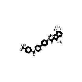 COc1cccc2c(C)c(C(=O)Nc3ccc(C4CCN(C(=O)[C@H]5CC[C@H](C(=O)O)CC5)CC4)cc3)[nH]c12